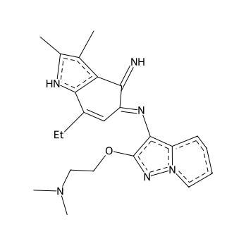 CCC1=C/C(=N\c2c(OCCN(C)C)nn3ccccc23)C(=N)c2c1[nH]c(C)c2C